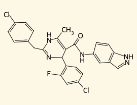 CC1=C(C(=O)Nc2ccc3[nH]ncc3c2)C(c2ccc(Cl)cc2F)N=C(Cc2ccc(Cl)cc2)N1